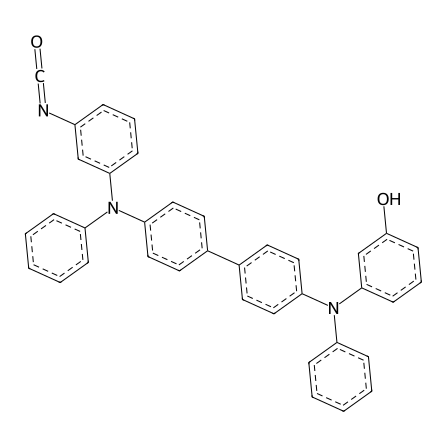 O=C=Nc1cccc(N(c2ccccc2)c2ccc(-c3ccc(N(c4ccccc4)c4cccc(O)c4)cc3)cc2)c1